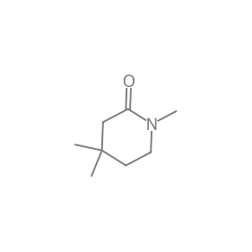 CN1CCC(C)(C)CC1=O